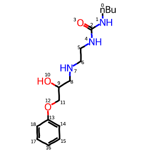 CCCCNC(=O)NCCNCC(O)COc1ccccc1